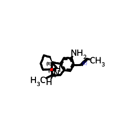 C/C=C/c1cc2c(cc1N)[C@@]13CCCC[C@H]1[C@@H](C2)N(C)CC3